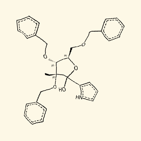 C[C@@]1(OCc2ccccc2)[C@H](OCc2ccccc2)[C@@H](COCc2ccccc2)OC1(O)c1ccc[nH]1